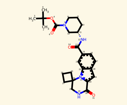 CC(C)(C)OC(=O)N1CCC[C@H](NC(=O)c2ccc3cc4n(c3c2)C2(CCC2)CNC4=O)C1